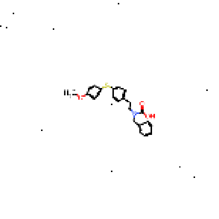 COc1ccc(Sc2ccc(CCN(Cc3ccccc3)C(=O)O)cc2)cc1